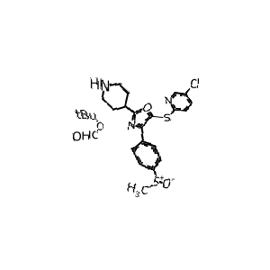 CC(C)(C)OC=O.C[S+]([O-])c1ccc(-c2nc(C3CCNCC3)oc2Sc2ccc(Cl)cn2)cc1